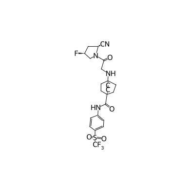 N#C[C@@H]1C[C@H](F)CN1C(=O)CNC12CCC(C(=O)Nc3ccc(S(=O)(=O)C(F)(F)F)cc3)(CC1)CC2